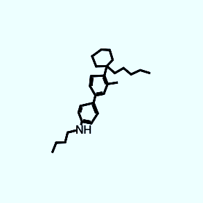 CCCCCC1(c2ccc(-c3ccc(NCCCC)cc3)cc2C)CCCCC1